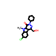 Cn1c2cc(Cl)ccc2c2c(CO)nn(-c3ccccc3)c(=O)c21